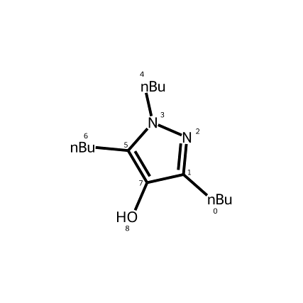 CCCCc1nn(CCCC)c(CCCC)c1O